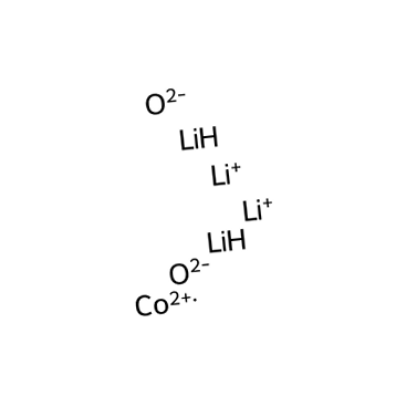 [Co+2].[Li+].[Li+].[LiH].[LiH].[O-2].[O-2]